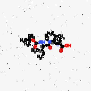 CC[C@H](C)[C@H](NC(=O)OC(C)(C)C)C(=O)N(C)[C@H](/C=C(\C)C(=O)O)C(C)C